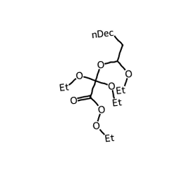 CCCCCCCCCCCC(OCC)OC(OCC)(OCC)C(=O)OOCC